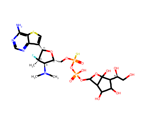 CN(C)[C@@H]1[C@@H](COP(=O)(S)OP(=O)(O)OC2OC3(O)C2C(O)C(O)C3[C@@H](O)CO)O[C@@H](c2csc3c(N)ncnc23)[C@]1(C)F